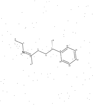 CC/N=C(/C)CC[C@H](C)c1ccccc1